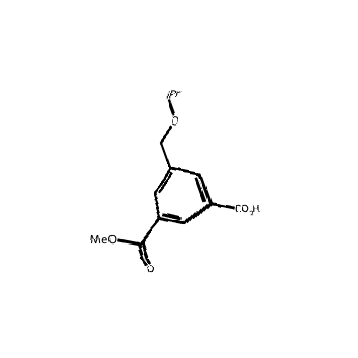 COC(=O)c1cc(COC(C)C)cc(C(=O)O)c1